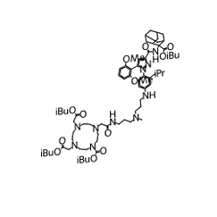 COc1cccc(OC)c1-c1cc(C(=O)NC2(C(=O)OCC(C)C)C3CC4CC(C3)CC2C4)nn1-c1ccc(NCCCN(C)CCCNC(=O)CN2CCN(CC(=O)OCC(C)C)CCN(CC(=O)OCC(C)C)CCN(C(=O)OCC(C)C)CC2)cc1C(C)C